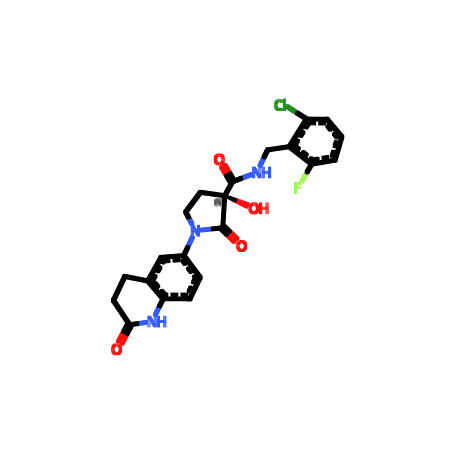 O=C1CCc2cc(N3CC[C@](O)(C(=O)NCc4c(F)cccc4Cl)C3=O)ccc2N1